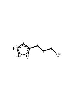 N#CCCCc1c[nH]nn1